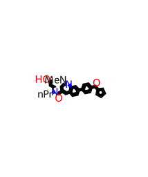 CCCN(CCCO)C(=O)C1=Cc2ccc(-c3ccc(C(=O)C4CCCC4)cc3)cc2N=C(NC)C1